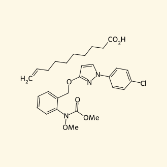 C=CCCCCCCCC(=O)O.COC(=O)N(OC)c1ccccc1COc1ccn(-c2ccc(Cl)cc2)n1